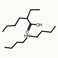 CCCCC(CC)C(=O)O.CCCCNCCCC